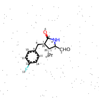 CC(C)[C@H]1C(C=O)NC(=O)[C@@H]1Cc1ccc(F)cc1